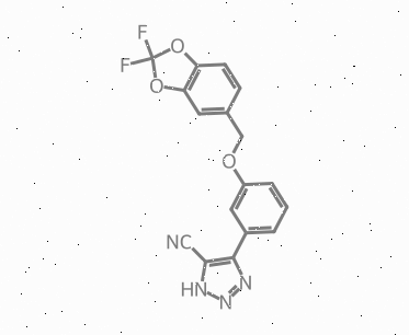 N#Cc1[nH]nnc1-c1cccc(OCc2ccc3c(c2)OC(F)(F)O3)c1